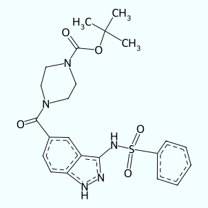 CC(C)(C)OC(=O)N1CCN(C(=O)c2ccc3[nH]nc(NS(=O)(=O)c4ccccc4)c3c2)CC1